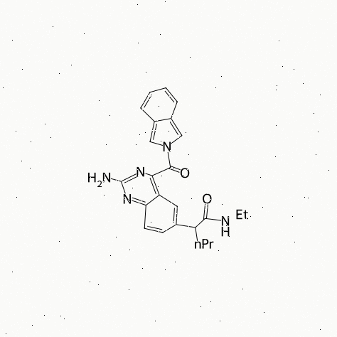 CCCC(C(=O)NCC)c1ccc2nc(N)nc(C(=O)n3cc4ccccc4c3)c2c1